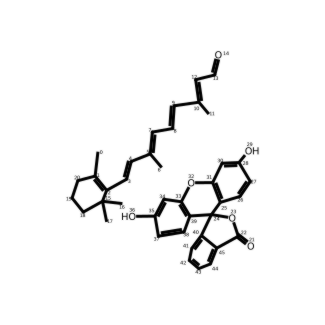 CC1=C(/C=C/C(C)=C/C=C/C(C)=C/C=O)C(C)(C)CCC1.O=C1OC2(c3ccc(O)cc3Oc3cc(O)ccc32)c2ccccc21